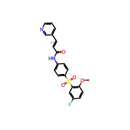 COc1ccc(F)cc1S(=O)(=O)c1ccc(NC(=O)/C=C/c2cccnc2)cc1